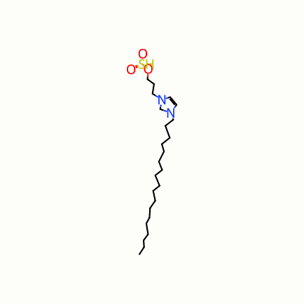 CCCCCCCCCCCCCCCCCCN1C=CN(CCCO[SH](=O)=O)C1